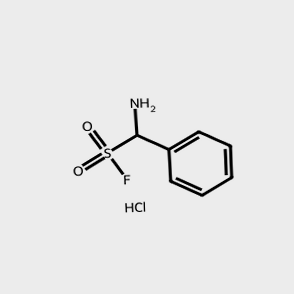 Cl.NC(c1ccccc1)S(=O)(=O)F